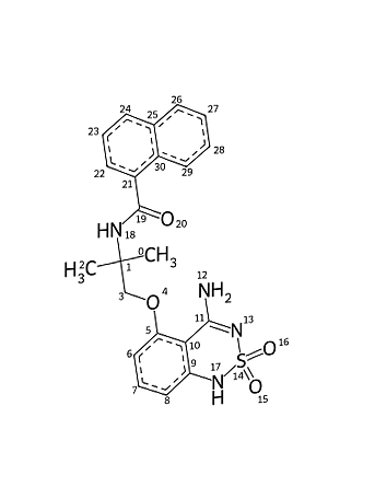 CC(C)(COc1cccc2c1C(N)=NS(=O)(=O)N2)NC(=O)c1cccc2ccccc12